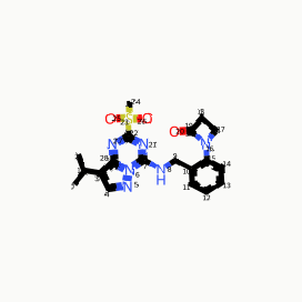 CC(C)c1cnn2c(NCc3ccccc3N3CCC3=O)nc(S(C)(=O)=O)nc12